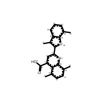 Cc1c(-c2cc(C(=O)O)c3c(C)ccc(C)c3n2)oc2c(C)cccc12